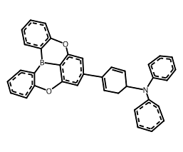 C1=CC(N(c2ccccc2)c2ccccc2)CC=C1c1cc2c3c(c1)Oc1ccccc1B3c1ccccc1O2